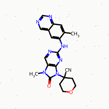 Cc1cc2ncncc2cc1Nc1ncc2c(n1)n(C1(C#N)CCOCC1)c(=O)n2C